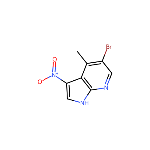 Cc1c(Br)cnc2[nH]cc([N+](=O)[O-])c12